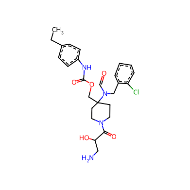 CCc1ccc(NC(=O)OCC2(N(C=O)Cc3ccccc3Cl)CCN(C(=O)C(O)CN)CC2)cc1